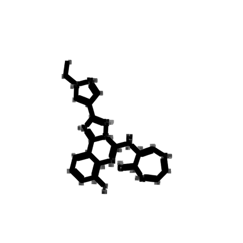 CCn1cc(-c2nc3c4cccc(F)c4nc(Nc4cnccnc4=O)n3n2)cn1